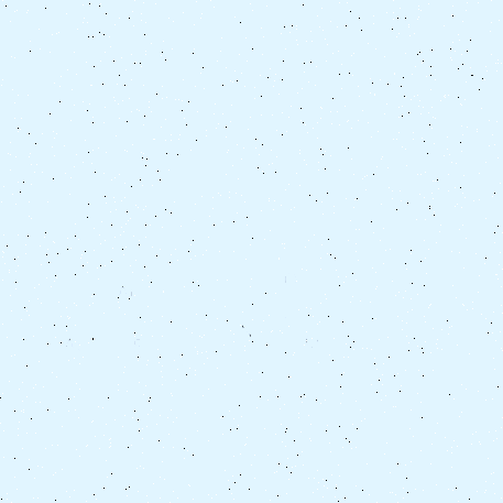 CC(=O)C(SC1CCN(C(=O)OCC2c3ccccc3-c3ccccc32)CC1)C(C)=O